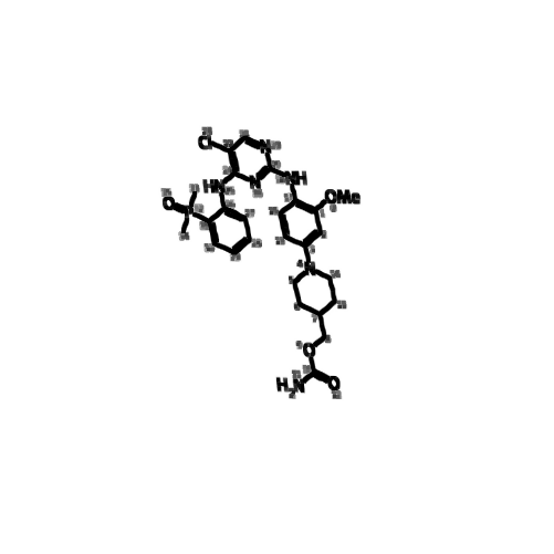 COc1cc(N2CCC(COC(N)=O)CC2)ccc1Nc1ncc(Cl)c(Nc2ccccc2P(C)(C)=O)n1